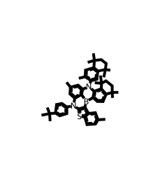 Cc1cc2c3c(c1)N(c1cc4c(cc1C)C(C)(C)CCC4(C)C)c1c(ccc4c1C(C)(C)CCC4(C)C)B3c1c(sc3ccc(C)cc13)N2c1ccc(C(C)(C)C)cc1